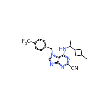 CC1CC(C(C)Nc2nc(C#N)nc3ncn(Cc4ccc(C(F)(F)F)cc4)c23)C1